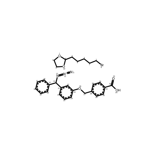 BrCCCCCC1OCCO1.[N-]=[N+]=NC(c1ccccc1)c1cccc(OCc2ccc(C(=O)O)cc2)c1